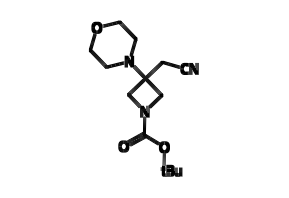 CC(C)(C)OC(=O)N1CC(CC#N)(N2CCOCC2)C1